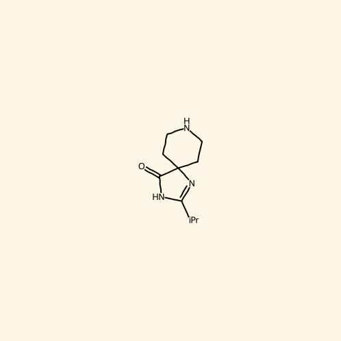 CC(C)C1=NC2(CCNCC2)C(=O)N1